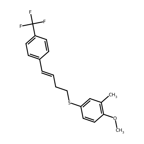 COc1ccc(SCC/C=C/c2ccc(C(F)(F)F)cc2)cc1C